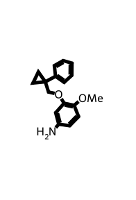 COc1ccc(N)cc1OCC1(c2ccccc2)CC1